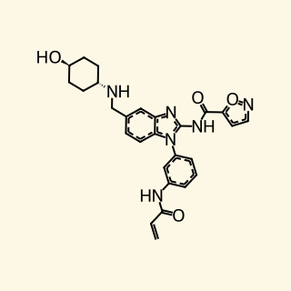 C=CC(=O)Nc1cccc(-n2c(NC(=O)c3ccno3)nc3cc(CN[C@H]4CC[C@H](O)CC4)ccc32)c1